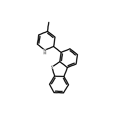 CC1=CC(c2cccc3c2sc2ccccc23)NC=C1